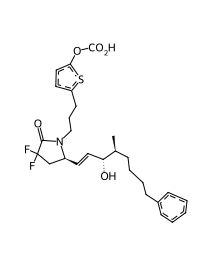 C[C@@H](CCCCc1ccccc1)[C@H](O)/C=C/[C@H]1CC(F)(F)C(=O)N1CCCc1ccc(OC(=O)O)s1